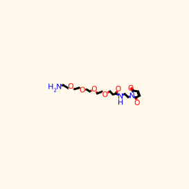 NCCOCCOCCOCCOCCC(=O)NCCN1C(=O)C=CC1=O